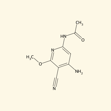 COc1nc(NC(C)=O)cc(N)c1C#N